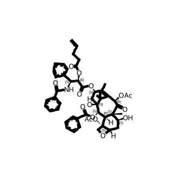 C=CCCC(=O)O[C@@H](C(=O)O[C@H]1C[C@@]2(O)[C@@H](OC(=O)c3ccccc3)[C@@H]3[C@]4(OC(C)=O)CO[C@@H]4C[C@H](O)[C@@]3(C)C(=O)[C@H](OC(C)=O)C(=C1C)C2(C)C)[C@@H](NC(=O)c1ccccc1)c1ccccc1